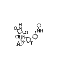 CN1CCN(c2cc(F)c(-c3cccc(CNC4CCCC4)c3)cc2NC(=O)c2c[nH]c(=O)cc2C(F)(F)F)CC1